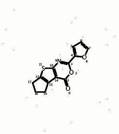 O=c1oc(-c2ccco2)nc2sc3c(c12)CCC3